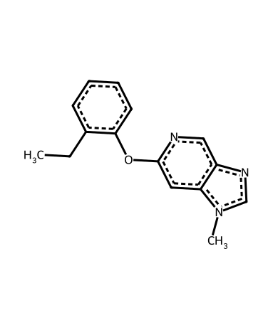 CCc1ccccc1Oc1cc2c(cn1)ncn2C